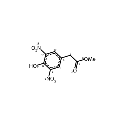 COC(=O)Cc1cc([N+](=O)[O-])c(O)c([N+](=O)[O-])c1